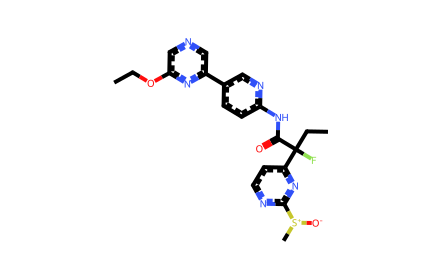 CCOc1cncc(-c2ccc(NC(=O)C(F)(CC)c3ccnc([S+](C)[O-])n3)nc2)n1